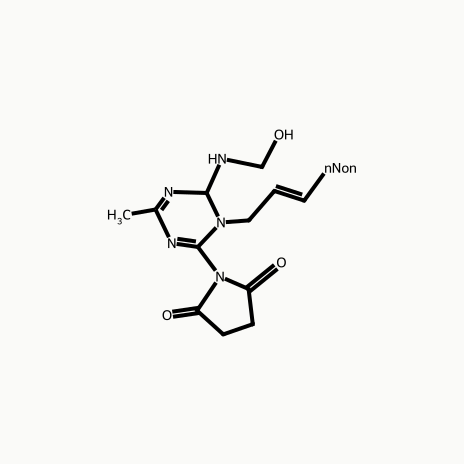 CCCCCCCCCC=CCN1C(N2C(=O)CCC2=O)=NC(C)=NC1NCO